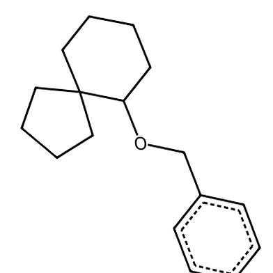 c1ccc(COC2CCCCC23CCCC3)cc1